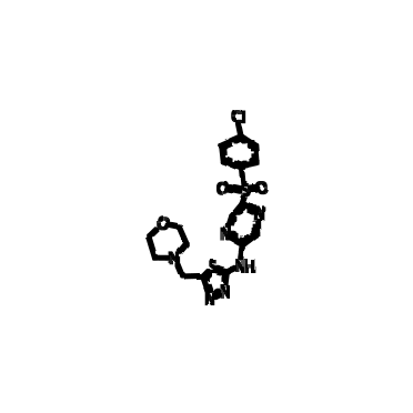 O=S(=O)(c1ccc(Cl)cc1)c1cnc(Nc2nnc(CN3CCOCC3)s2)cn1